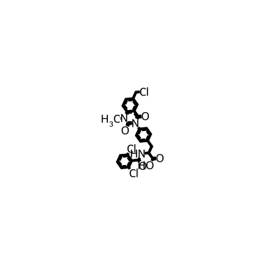 Cn1c(=O)n(-c2ccc(CC(NC(=O)c3c(Cl)cccc3Cl)C(=O)O)cc2)c(=O)c2cc(CCl)ccc21